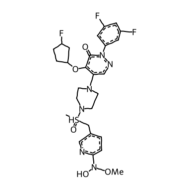 CON(O)c1ccc(C[SH](C)(=O)N2CCN(c3cnn(-c4cc(F)cc(F)c4)c(=O)c3OC3CCC(F)C3)CC2)cn1